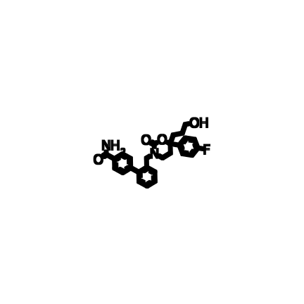 NC(=O)c1ccc(-c2ccccc2CN2CCC(CCCO)(c3ccc(F)cc3)OC2=O)cc1